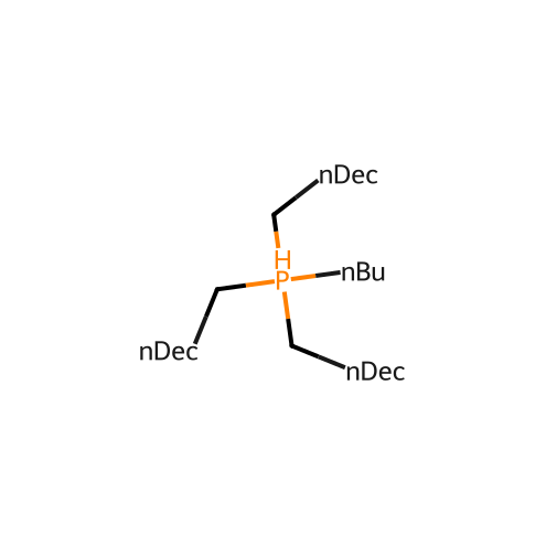 CCCCCCCCCCC[PH](CCCC)(CCCCCCCCCCC)CCCCCCCCCCC